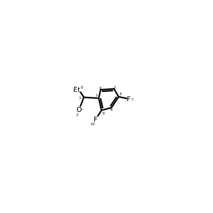 CCC([O])c1ccc(F)cc1F